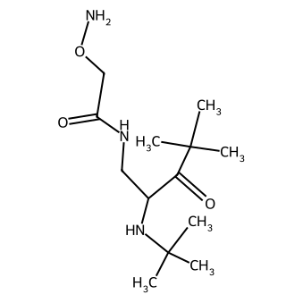 CC(C)(C)NC(CNC(=O)CON)C(=O)C(C)(C)C